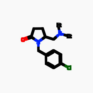 CCN(CC)CC1CCC(=O)N1Cc1ccc(Cl)cc1